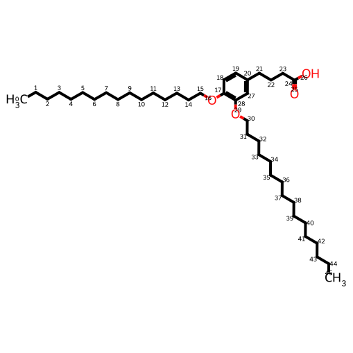 CCCCCCCCCCCCCCCCOc1ccc(CCCC(=O)O)cc1OCCCCCCCCCCCCCCCC